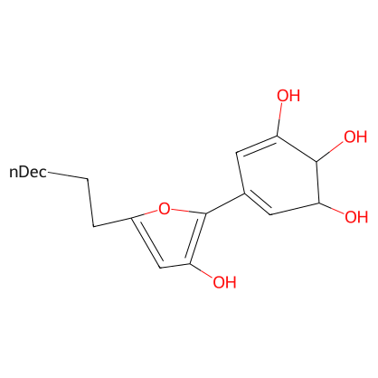 CCCCCCCCCCCCc1cc(O)c(C2=CC(O)C(O)C(O)=C2)o1